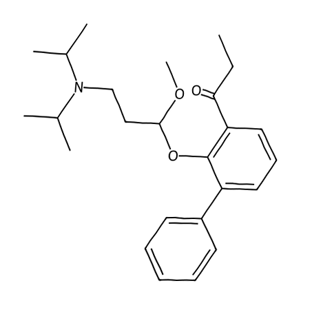 CCC(=O)c1cccc(-c2ccccc2)c1OC(CCN(C(C)C)C(C)C)OC